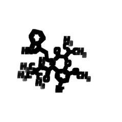 COc1cc(Br)cc2c1OC(C(C)C)C(=O)N(CCc1c[nH]c3ccccc13)C2C(=O)NC(C)(C)C